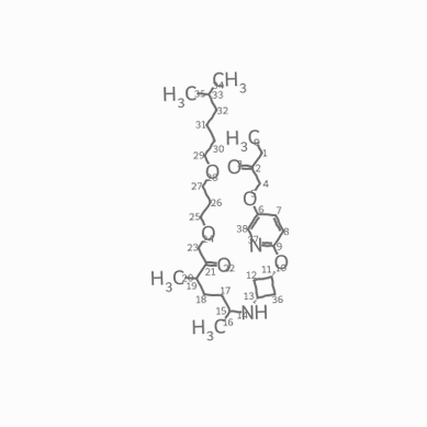 CCC(=O)COc1ccc(O[C@H]2C[C@@H](NC(C)CCC(C)C(=O)COCCCOCCCCC(C)C)C2)nc1